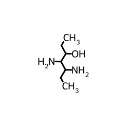 CCC(N)C(N)C(O)CC